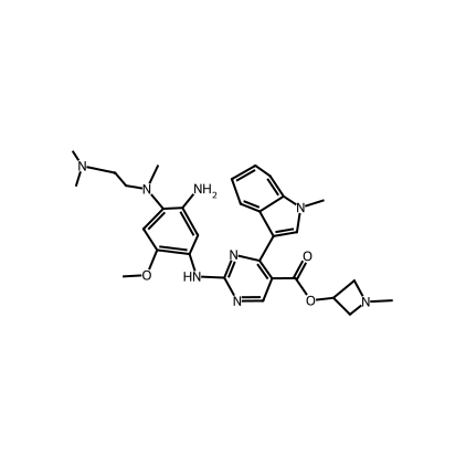 COc1cc(N(C)CCN(C)C)c(N)cc1Nc1ncc(C(=O)OC2CN(C)C2)c(-c2cn(C)c3ccccc23)n1